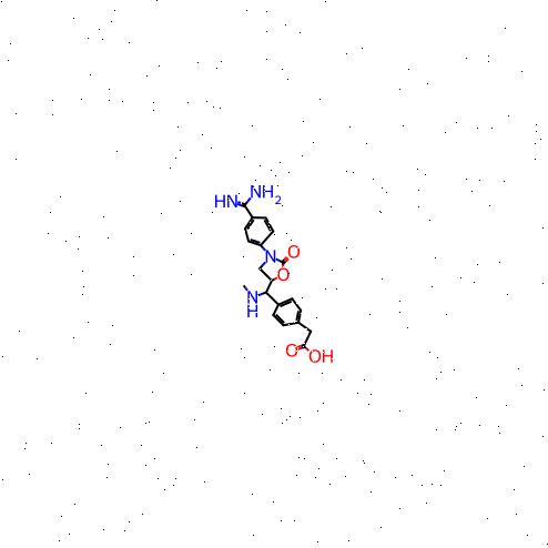 CNC(c1ccc(CC(=O)O)cc1)C1CN(c2ccc(C(=N)N)cc2)C(=O)O1